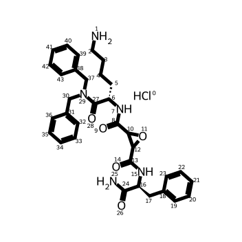 Cl.NCCCC[C@H](NC(=O)C1OC1C(=O)N[C@@H](Cc1ccccc1)C(N)=O)C(=O)N(Cc1ccccc1)Cc1ccccc1